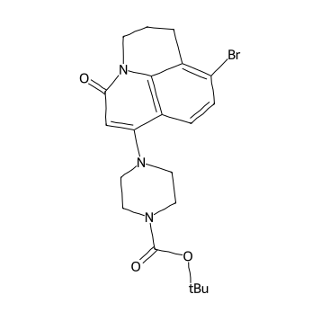 CC(C)(C)OC(=O)N1CCN(c2cc(=O)n3c4c(c(Br)ccc24)CCC3)CC1